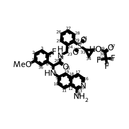 COc1ccc(F)c(C(Nc2ccc3c(N)nccc3c2)C(=O)NCc2ccccc2S(=O)(=O)C2CC2)c1.O=C(O)C(F)(F)F